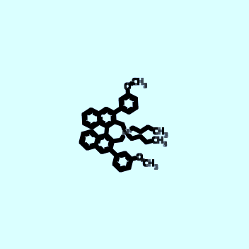 CCCC[N+]1(CCCC)Cc2c(-c3cccc(OC)c3)cc3ccccc3c2-c2c(c(-c3cccc(OC)c3)cc3ccccc23)C1